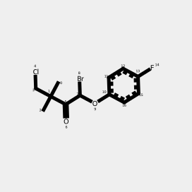 CC(C)(CCl)C(=O)C(Br)Oc1ccc(F)cc1